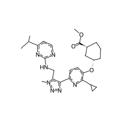 COC(=O)[C@H]1CCC[C@H](Oc2ccc(-c3nnn(C)c3CNc3nccc(C(C)C)n3)nc2C2CC2)C1